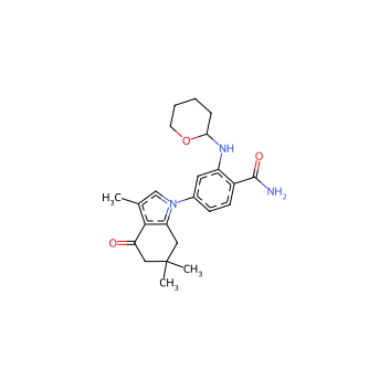 Cc1cn(-c2ccc(C(N)=O)c(NC3CCCCO3)c2)c2c1C(=O)CC(C)(C)C2